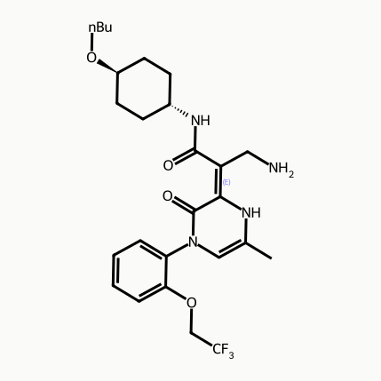 CCCCO[C@H]1CC[C@H](NC(=O)/C(CN)=C2/NC(C)=CN(c3ccccc3OCC(F)(F)F)C2=O)CC1